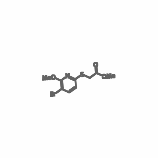 COC(=O)CSc1ccc(Br)c(OC)n1